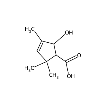 CC1=CC(C)(C)C(C(=O)O)C1O